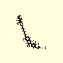 CCCCCc1ccc(-c2cc3ccn(CCCCCCCCCOC(=O)C(C)(C)C(C)CC(C)C)c(=O)c3oc2=O)c(C(F)(F)F)c1